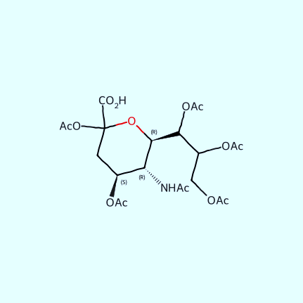 CC(=O)N[C@@H]1[C@@H](OC(C)=O)CC(OC(C)=O)(C(=O)O)O[C@H]1C(OC(C)=O)C(COC(C)=O)OC(C)=O